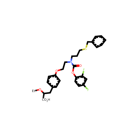 CCOC(Cc1ccc(OCCN(CCCSCc2ccccc2)C(=O)Oc2ccc(F)cc2F)cc1)C(=O)O